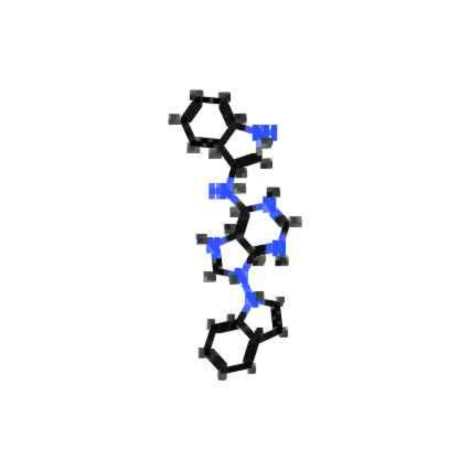 c1ccc2c(c1)ccn2-n1cnc2c(Nc3c[nH]c4ccccc34)ncnc21